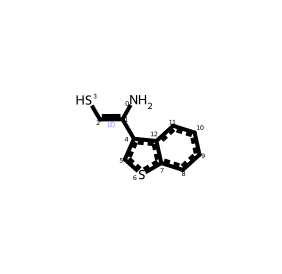 N/C(=C\S)c1csc2ccccc12